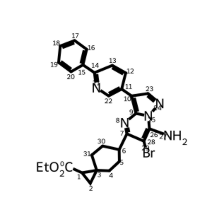 CCOC(=O)C1CC12CCC(c1nc3c(-c4ccc(-c5ccccc5)nc4)cnn3c(N)c1Br)CC2